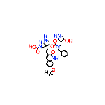 COc1ccc2cc(CC[C@]3(CNC(=O)O)CNC[C@@H]3OC(=O)N(Cc3ccccc3)C[C@@H]3CNC[C@@H]3O)c(=O)[nH]c2c1